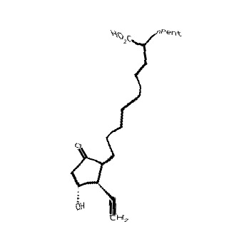 C=C[C@@H]1C(CCCCCCCC(CCCCC)C(=O)O)C(=O)C[C@H]1O